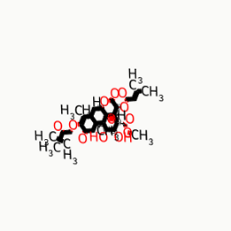 COC(=O)[C@@]12OC[C@]34C([C@@H](O)[C@@H]1O)[C@@]1(C)CC(=O)C(OCC(=O)C(C)(C)C)=C(C)[C@@H]1C[C@H]3OC(=O)[C@H](OC(=O)C=C(C)C)[C@@H]24